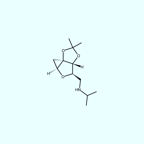 CC(C)NC[C@H]1O[C@H]2C[C@@]23OC(C)(C)O[C@H]13